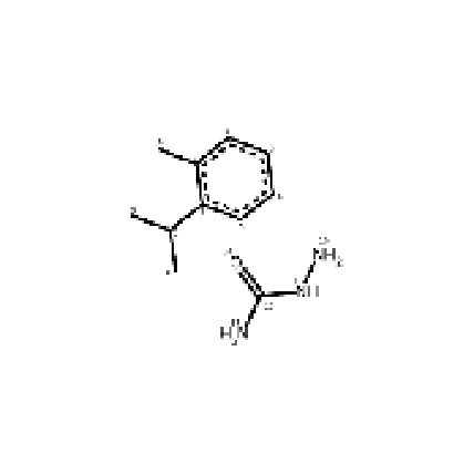 Cc1ccccc1C(C)C.NNC(N)=O